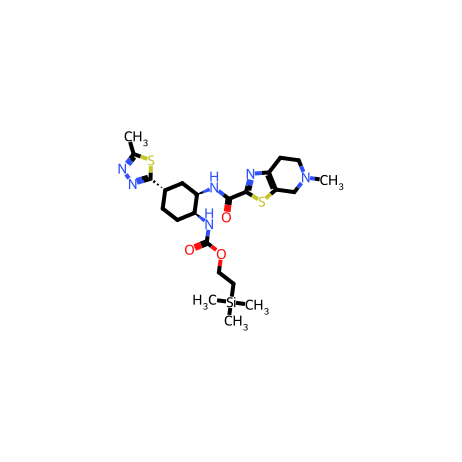 Cc1nnc([C@H]2CC[C@H](NC(=O)OCC[Si](C)(C)C)[C@H](NC(=O)c3nc4c(s3)CN(C)CC4)C2)s1